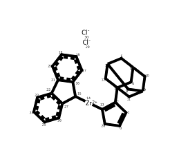 C1=CC(C23CC4CC(CC(C4)C2)C3)=[C]([Zr+2][CH]2c3ccccc3-c3ccccc32)C1.[Cl-].[Cl-]